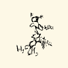 CC(=O)NC(C)c1cc(C)c(C)cc1N1CCN(C(=O)[C@@H]2CN(C(C)(C)C)C[C@@H]2c2ccc(F)cc2F)CC1